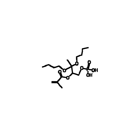 C=C(C)C(=O)OC(COP(=O)(O)O)C(C)(OCCCC)OCCCC